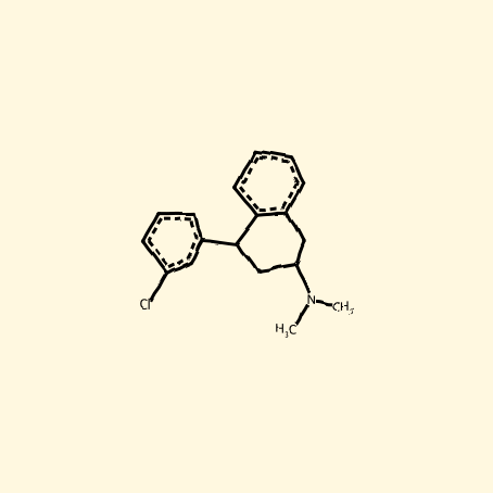 CN(C)C1Cc2ccccc2C(c2cccc(Cl)c2)C1